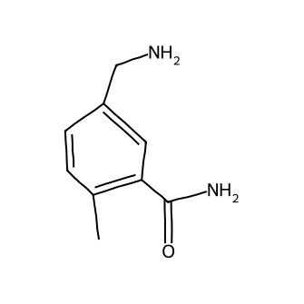 Cc1ccc(CN)cc1C(N)=O